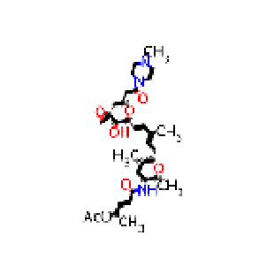 CC(=O)OC(C)C=CC(=O)N[C@@H]1C[C@H](C)[C@H](CC=C(C)C=C[C@H]2O[C@H](CC(=O)N3CCN(C)CC3)C[C@@]3(CO3)[C@@H]2O)O[C@@H]1C